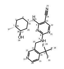 C[C@@H]1CC[C@H](Nc2nc(NCc3cnccc3C(F)(F)F)ncc2C#N)C[C@H]1O